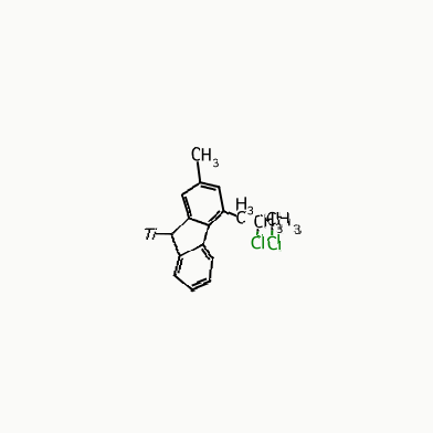 CCl.CCl.Cc1cc(C)c2c(c1)[CH]([Ti])c1ccccc1-2